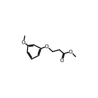 COC(=O)CCOc1cccc(OC)c1